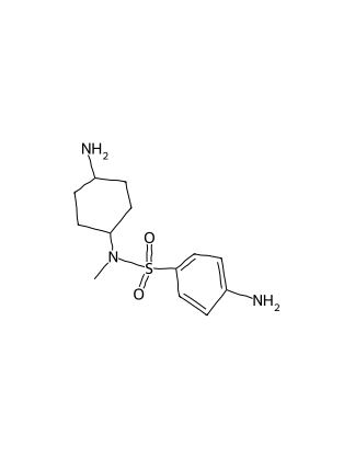 CN(C1CCC(N)CC1)S(=O)(=O)c1ccc(N)cc1